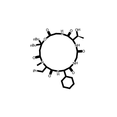 CCCCC1(CCCC)CC(=O)N(C)C(CC(C)C)C(=O)NC(C2CCCCC2)C(=O)NCC(=O)NC([C@H](C)O)C(=O)NCC(=O)O1